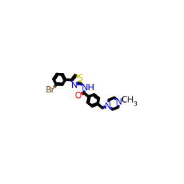 CN1CCN(Cc2ccc(C(=O)Nc3nc(-c4cccc(Br)c4)cs3)cc2)CC1